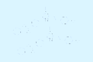 COc1ccc(C=Cc2nc(-c3ccc(C(=O)Oc4ccccc4)cc3)c[nH]2)cc1.COc1ccc(C=Cc2nc(-c3ccc(C(=O)Oc4ccccc4)cc3)c[nH]2)cc1